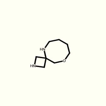 C1CCOCC2(CNC2)NC1